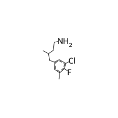 Cc1cc(CC(C)CCN)cc(Cl)c1F